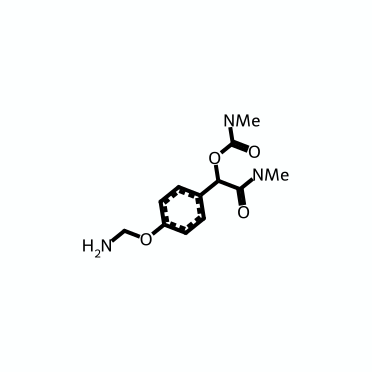 CNC(=O)OC(C(=O)NC)c1ccc(OCN)cc1